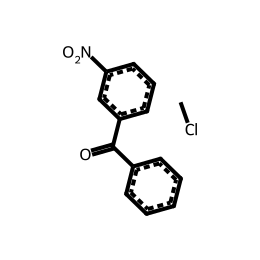 CCl.O=C(c1ccccc1)c1cccc([N+](=O)[O-])c1